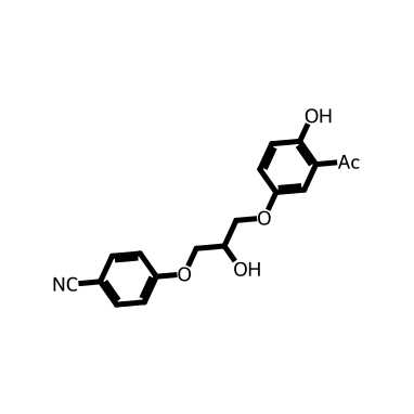 CC(=O)c1cc(OCC(O)COc2ccc(C#N)cc2)ccc1O